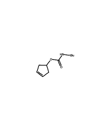 CC(C)(C)NC(=O)OC1CC=CC1